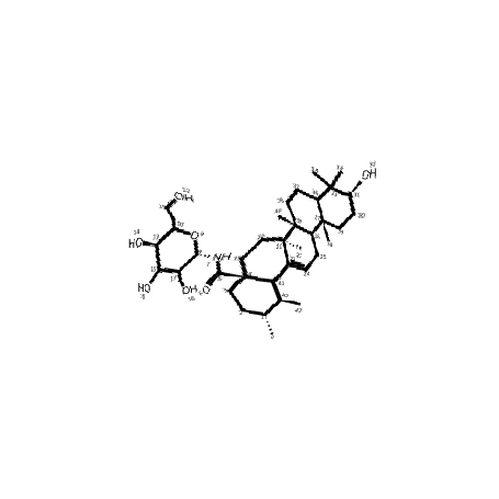 C[C@@H]1CC[C@]2(C(=O)N[C@H]3OC(CO)[C@H](O)C(O)C3O)CC[C@]3(C)C(=CCC4[C@@]5(C)CC[C@H](O)C(C)(C)C5CC[C@]43C)C2[C@H]1C